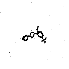 O=Cc1ccc(C(F)(F)F)cc1N1CCC(c2ccccc2)CC1